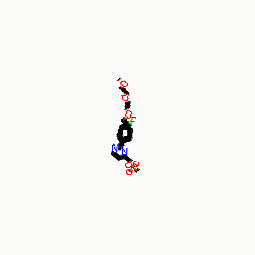 COCCOCCOCC1(F)CC=C(c2nccc(COS(C)(=O)=O)n2)CC1